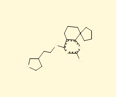 Nc1nc(NCCC2CCNC2)c2c(n1)C1(CCCC1)CCC2